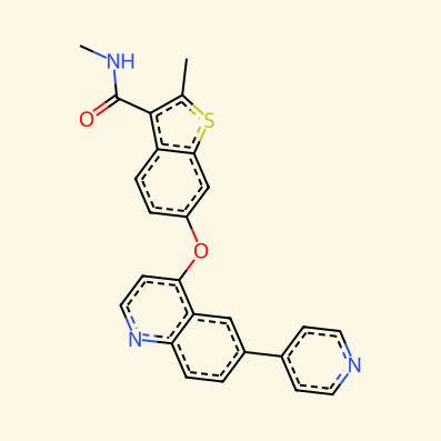 CNC(=O)c1c(C)sc2cc(Oc3ccnc4ccc(-c5ccncc5)cc34)ccc12